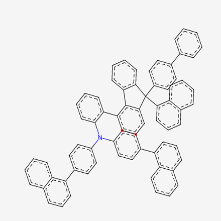 c1ccc(-c2ccc(C3(c4cccc5ccccc45)c4ccccc4-c4c(-c5ccccc5N(c5ccc(-c6cccc7ccccc67)cc5)c5ccc(-c6cccc7ccccc67)cc5)cccc43)cc2)cc1